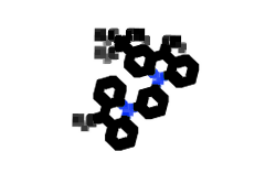 C=C1c2ccccc2N(c2cccc(N3c4ccccc4C(=C)c4cc(C(C)(C)C)ccc43)c2)c2ccccc21